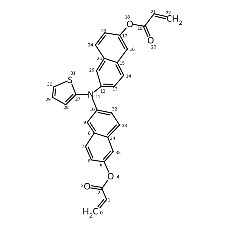 C=CC(=O)Oc1ccc2cc(N(c3ccc4cc(OC(=O)C=C)ccc4c3)c3cccs3)ccc2c1